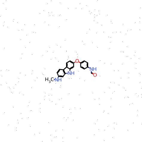 CNc1ccc2c(c1)[nH]c1cc(Oc3ccc(NC=O)cc3)ccc12